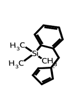 C[Si](C)(C)c1ccccc1C[C]1C=CC=C1